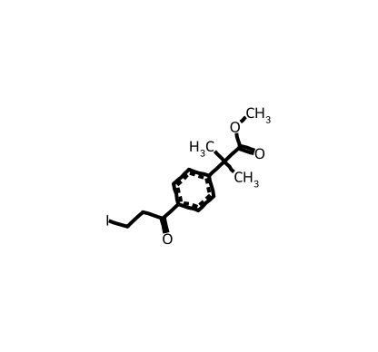 COC(=O)C(C)(C)c1ccc(C(=O)CCI)cc1